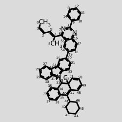 C/C=C\C=C(/C)c1nc(-c2ccccc2)nc2ccc(-c3ccc4c(c3)c3ccccc3n4C3c4ccccc4C(C4CCCCC4)=C4C=CC=CC43C)cc12